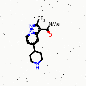 CNC(=O)c1c(C(F)(F)F)nn2ccc(C3CCNCC3)cc12